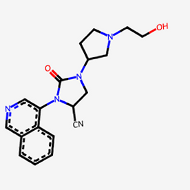 N#CC1CN(C2CCN(CCO)C2)C(=O)N1c1cncc2ccccc12